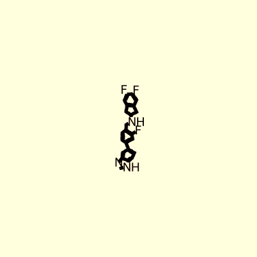 Fc1cc2c(cc1F)CC(NCc1ccc(-c3ccc4[nH]cnc4c3)cc1F)C2